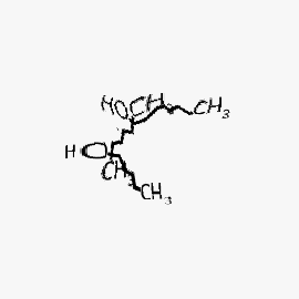 CCCCCCC(C)(O)C[CH]CCC(C)(O)CCCCC